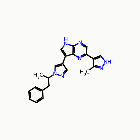 Cc1n[nH]cc1-c1cnc2[nH]cc(-c3cnn(C(C)Cc4ccccc4)c3)c2n1